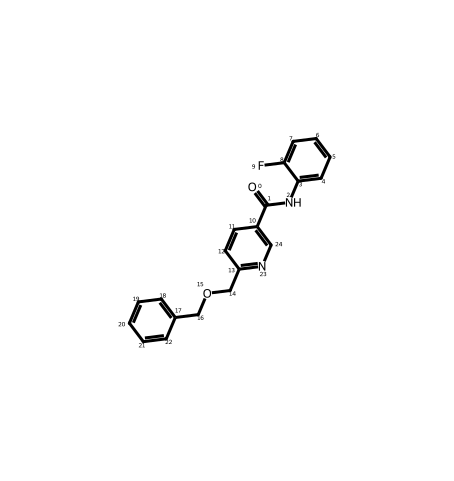 O=C(Nc1ccccc1F)c1ccc(COCc2ccccc2)nc1